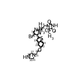 CC1(C)C(=O)NC(=O)N1CCNc1ncc(Br)c(-c2cc3cc(OCCN4CCNCC4)ccc3s2)n1